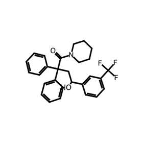 O=C(N1CCCCC1)C(CC(O)c1cccc(C(F)(F)F)c1)(c1ccccc1)c1ccccc1